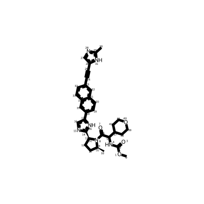 COC(=O)NC(C(=O)N1[C@@H](C)CC[C@H]1c1ncc(-c2ccc3cc(C#Cc4cnc(C)[nH]4)ccc3c2)[nH]1)C1CCOCC1